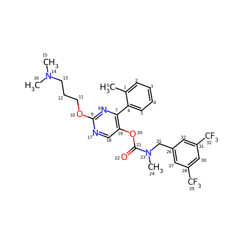 Cc1ccccc1-c1nc(OCCCN(C)C)ncc1OC(=O)N(C)Cc1cc(C(F)(F)F)cc(C(F)(F)F)c1